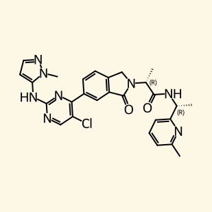 Cc1cccc([C@@H](C)NC(=O)[C@@H](C)N2Cc3ccc(-c4nc(Nc5ccnn5C)ncc4Cl)cc3C2=O)n1